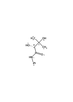 CC(C)NC(=O)[C@H](O)C(C)(C)O